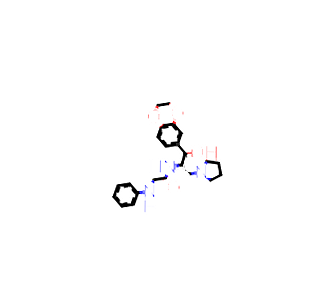 O=C(CNc1ccccc1)N[C@H](CN1CCCC1)[C@H](O)c1ccc2c(c1)OCCO2